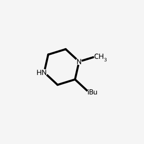 CCC(C)C1CNCCN1C